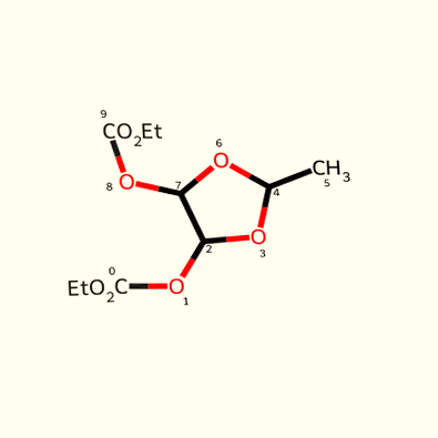 CCOC(=O)OC1OC(C)OC1OC(=O)OCC